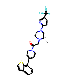 C[C@@H]1CN(c2ccc(C(F)(F)F)cn2)C[C@H](C)N1CC(=O)N1CC=C(c2cccc3ccsc23)CC1